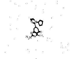 Cc1nc(N)nc2c1C(=O)CC(c1nccn1C1CCCC1)C2